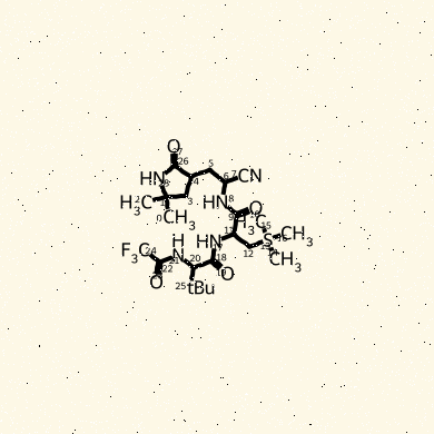 CC1(C)CC(CC(C#N)NC(=O)C(CS(C)(C)C)NC(=O)C(NC(=O)C(F)(F)F)C(C)(C)C)C(=O)N1